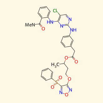 CNC(=O)c1ccccc1Nc1nc(Nc2cccc(CC(=O)OC(C)CCOc3nonc3S(=O)(=O)c3ccccc3)c2)ncc1Cl